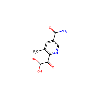 NC(=O)c1cnc(C(=O)C(O)O)c(C(F)(F)F)c1